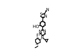 CC[C@@H]1CC[C@H](F)[C@H](N(c2cnc(-c3ccc(-c4csc(C#N)n4)cc3O)nn2)C2CC2)C1